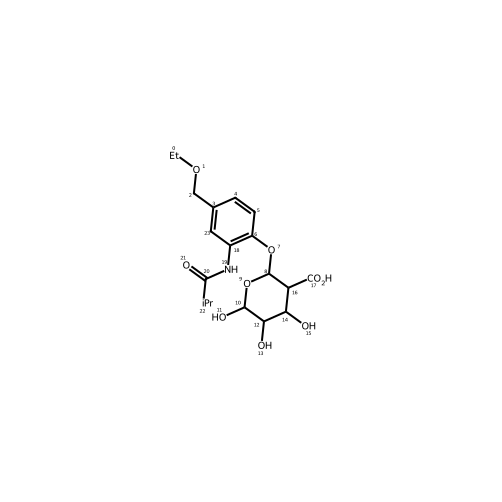 CCOCc1ccc(OC2OC(O)C(O)C(O)C2C(=O)O)c(NC(=O)C(C)C)c1